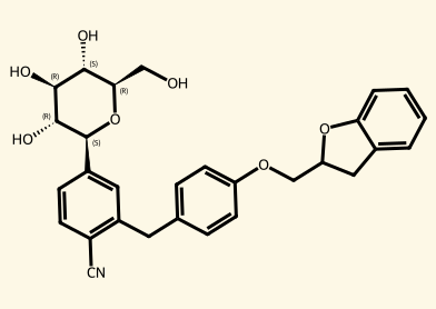 N#Cc1ccc([C@@H]2O[C@H](CO)[C@@H](O)[C@H](O)[C@H]2O)cc1Cc1ccc(OCC2Cc3ccccc3O2)cc1